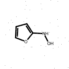 ONc1ccco1